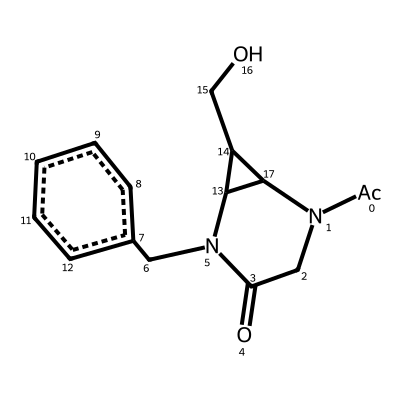 CC(=O)N1CC(=O)N(Cc2ccccc2)C2C(CO)C21